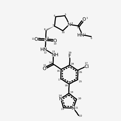 CNC(=O)N1CC[C@@H](CS(=O)(=O)NNC(=O)c2cc(-c3cn(C)cn3)cc(Cl)c2F)C1